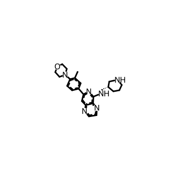 Cc1cc(-c2cc3nccnc3c(NC[C@H]3CCCNC3)n2)ccc1N1CCOCC1